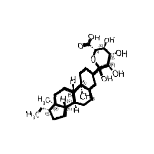 CC[C@H]1CC[C@H]2[C@@H]3CCC4CC(C5(O)O[C@H](C(=O)O)[C@@H](O)[C@H](O)[C@H]5O)CC[C@]4(C)[C@H]3CC[C@]12C